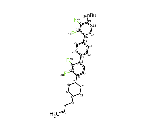 C=CCCC1CCC(c2ccc(-c3ccc(-c4ccc(CCCC)c(F)c4F)cc3)c(F)c2F)CC1